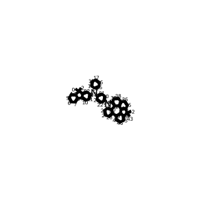 CC1(C)c2ccccc2-c2ccc(N(c3ccccc3)c3ccc(-n4c5cccc6c5c5c7c8c(ccc7ccc54)C(C)(C)c4cccc-6c4-8)cc3)cc21